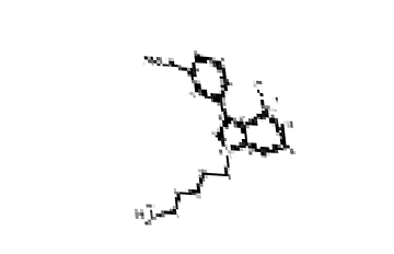 COc1cccc(-c2cn(CCCCCN)c3ccnc(N)c23)c1